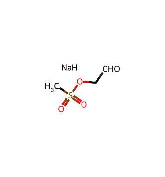 CS(=O)(=O)OCC=O.[NaH]